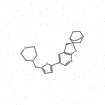 c1nc2c(cc1-c1ccc(CN3CCOCC3)o1)C[C@@]1(CN3CCC1CC3)O2